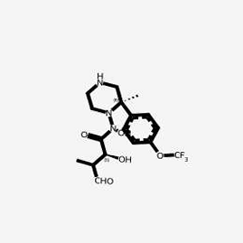 CC(C=O)[C@H](O)C(=O)N(O)N1CCNC[C@@]1(C)c1ccc(OC(F)(F)F)cc1